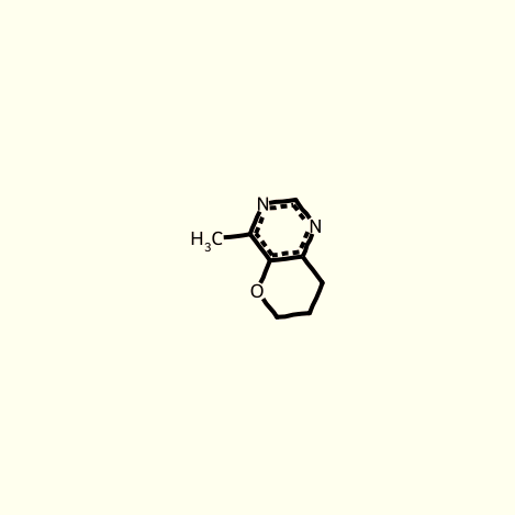 Cc1ncnc2c1OCCC2